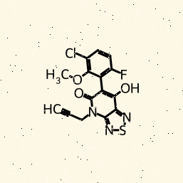 C#CCn1c(=O)c(-c2c(F)ccc(Cl)c2OC)c(O)c2nsnc21